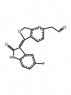 O=CCc1ccc2c(n1)CO/C2=C1\C(=O)Nc2ccc(F)cc21